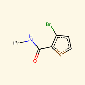 CC(C)NC(=O)c1sccc1Br